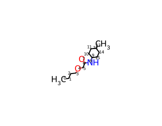 CCCCOCC(=O)NC1CCC(C)CC1